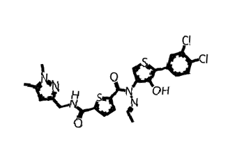 CC=NN(C(=O)c1ccc(C(=O)NCc2cc(C)n(C)n2)s1)c1csc(-c2ccc(Cl)c(Cl)c2)c1O